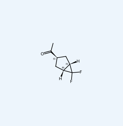 CC(=O)[C@@H]1C[C@@H]2[C@H](C1)C2(F)F